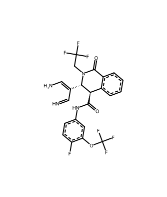 N=C/C(=C\N)[C@H]1[C@H](C(=O)Nc2ccc(F)c(OC(F)(F)F)c2)c2ccccc2C(=O)N1CC(F)(F)F